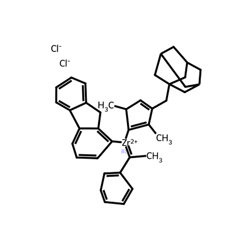 CC1=[C](/[Zr+2](=[C](\C)c2ccccc2)[c]2cccc3c2Cc2ccccc2-3)C(C)C=C1CC12CC3CC(CC(C3)C1)C2.[Cl-].[Cl-]